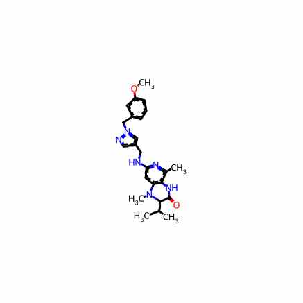 COc1cccc(Cn2cc(CNc3cc4c(c(C)n3)NC(=O)C(C(C)C)N4C)cn2)c1